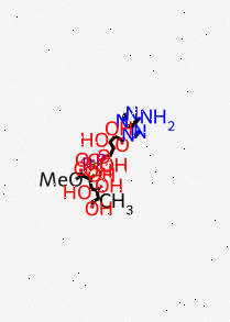 COC(OP(=O)(O)OP(O)(=S)OCC1OC(n2cnc3c(N)ncnc32)C(O)C1O)C(O)C(O)C(O)C(C)CO